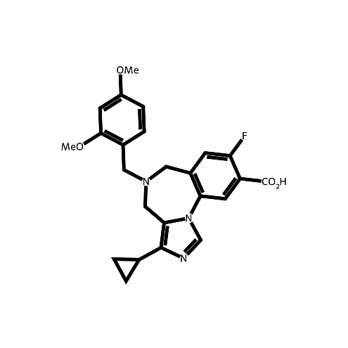 COc1ccc(CN2Cc3cc(F)c(C(=O)O)cc3-n3cnc(C4CC4)c3C2)c(OC)c1